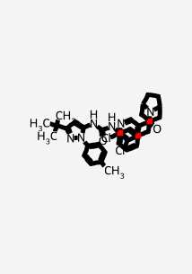 Cc1ccc(-n2nc(C(C)(C)C)cc2NC(=O)Nc2cccc(CC3CC4CCC(C3)N4C(=O)c3cnc(Cl)c(Cl)c3)c2)cc1